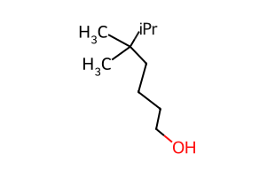 CC(C)C(C)(C)CCCCO